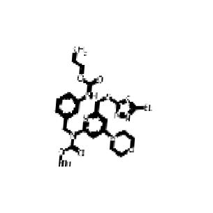 C=CCOC(=O)Nc1cccc(CN(C(=O)OC(C)(C)C)c2cc(N3CCOCC3)cc(CSc3nnc(CC)s3)n2)c1